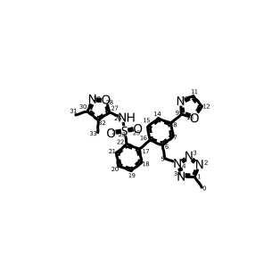 Cc1nnn(Cc2cc(-c3ncco3)ccc2-c2ccccc2S(=O)(=O)Nc2onc(C)c2C)n1